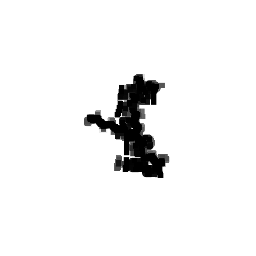 CCCCCC(=O)N[C@@H](CCCNC(=N)N[N+](=O)[O-])C(=O)N[C@@H](CC(C)C)B(O)O